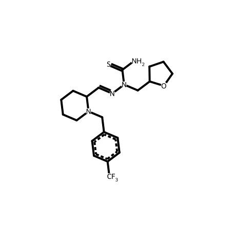 NC(=S)N(CC1CCCO1)N=CC1CCCCN1Cc1ccc(C(F)(F)F)cc1